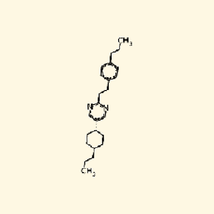 CCCc1ccc(CCc2ncc([C@H]3CC[C@H](CCC)CC3)cn2)cc1